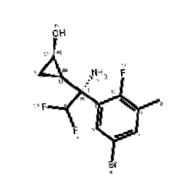 Cc1cc(Br)cc([C@@](N)(C(F)F)[C@H]2C[C@H]2O)c1F